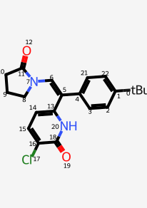 CC(C)(C)c1ccc(C(=CN2CCCC2=O)c2ccc(Cl)c(=O)[nH]2)cc1